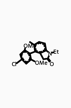 CCN1C(=O)Cc2c1ccc(C)c2-c1c(OC)cc(Cl)cc1OC